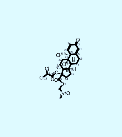 C[S+]([O-])COC(=O)[C@@]1(OC(=O)C(Cl)Cl)CC[C@H]2[C@@H]3CCC4=CC(=O)C=C[C@]4(C)[C@@]3(Cl)[C@@H](Cl)C[C@@]21C